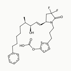 C[C@H](CCCCCc1ccccc1)[C@H](O)/C=C/[C@H]1CC(F)(F)C(=O)N1CCCc1ccc(OC(=O)O)s1